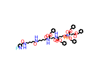 O=C(CCCCCNC(=O)c1ccc(F)nc1)NCCCCCC(=O)N[C@@H](CCC(=O)N[C@@H](CCCOCN(POCc1ccccc1)[C@@H](CCC(=O)OCc1ccccc1)C(=O)OCc1ccccc1)C(=O)OCc1ccccc1)C(=O)OCc1ccccc1